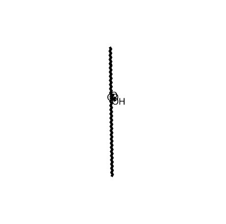 CCCCCCCCC=CCCCCCCCCCCCCCC(=O)OC(CCCCCCCCCCCCCCCCCCCCCCCCCCCCCCCCCCCCC)C(=O)O